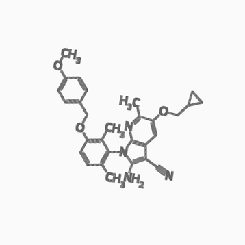 COc1ccc(COc2ccc(C)c(-n3c(N)c(C#N)c4cc(OCC5CC5)c(C)nc43)c2C)cc1